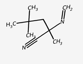 C=NC(C)(C#N)CC(C)(C)C